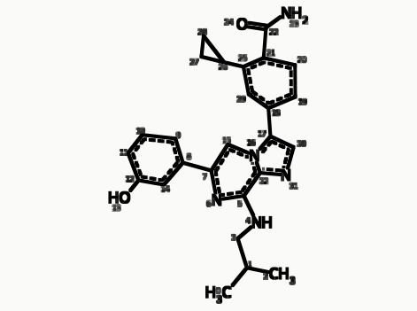 CC(C)CNc1nc(-c2cccc(O)c2)cn2c(-c3ccc(C(N)=O)c(C4CC4)c3)cnc12